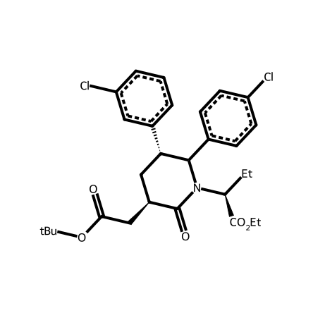 CCOC(=O)[C@H](CC)N1C(=O)[C@@H](CC(=O)OC(C)(C)C)C[C@H](c2cccc(Cl)c2)C1c1ccc(Cl)cc1